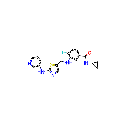 O=C(NC1CC1)c1ccc(F)c(NCc2cnc(Nc3cccnc3)s2)c1